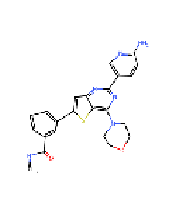 C=NC(=O)c1cccc(-c2cc3nc(-c4ccc(N)nc4)nc(N4CCOCC4)c3s2)c1